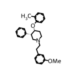 COc1cccc(CCN2CC[C@@H](Oc3ccccc3C)[C@@H](c3ccccc3)C2)c1